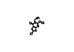 CCOc1nc2sc(Cl)cc2c(=O)n1CC(C)C